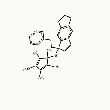 CC1=C(C)[C](C)([Hf][C]2(CCc3ccccc3)C=Cc3cc4c(cc32)CCC4)C(C)=C1C